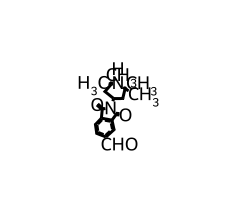 CC1(C)CC(N2C(=O)c3ccc(C=O)cc3C2=O)CC(C)(C)N1